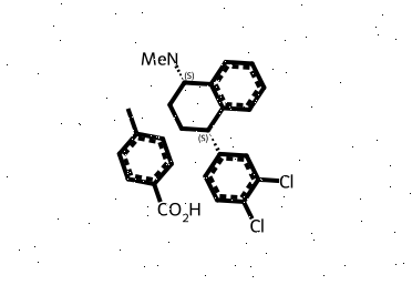 CN[C@H]1CC[C@@H](c2ccc(Cl)c(Cl)c2)c2ccccc21.Cc1ccc(C(=O)O)cc1